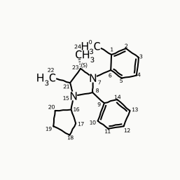 Cc1ccccc1N1C(c2ccccc2)N(C2CCCC2)C(C)[C@@H]1C